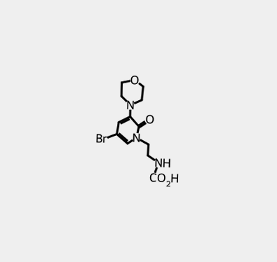 O=C(O)NCCn1cc(Br)cc(N2CCOCC2)c1=O